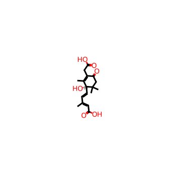 CC(C=C[C@@]1(O)C(C)=C(CC(=O)O)C(=O)CC1(C)C)=CC(=O)O